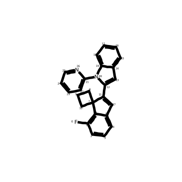 Fc1cccc2c1C1(CCC1)C(c1cc3ccccc3n1-c1ccccn1)=C2